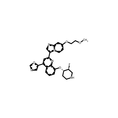 COCCOc1ccn2c(-c3cc(-c4cnco4)c4cccc(O[C@H]5CCNC[C@@H]5F)c4n3)cnc2c1